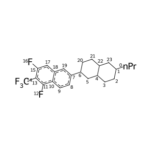 CCCC1CCC2CC(c3ccc4c(F)c(C(F)(F)F)c(F)cc4c3)CCC2C1